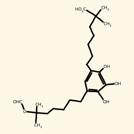 CC(C)(CCCCCc1cc(CCCCCC(C)(C)C(=O)O)c(O)c(O)c1O)OC=O